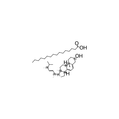 CC(C)[C@@H](C)C=C[C@@H](C)[C@H]1CC[C@H]2C3=CC=C4C[C@@H](O)CC[C@@]4(C)[C@@H]3CC[C@]12C.CCCCCCCCCCCCCCCC(=O)O